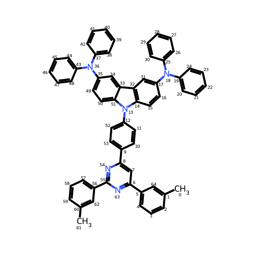 Cc1cccc(-c2cc(-c3ccc(-n4c5ccc(N(c6ccccc6)c6ccccc6)cc5c5cc(N(c6ccccc6)c6ccccc6)ccc54)cc3)nc(-c3cccc(C)c3)n2)c1